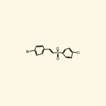 O=S(=O)(C=Cc1ccc(Br)cc1)c1ccc(Cl)cc1